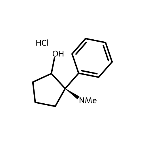 CN[C@@]1(c2ccccc2)CCCC1O.Cl